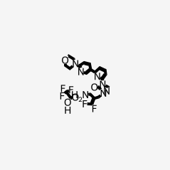 NCC(Cn1ncn(-c2cccc(-c3ccc(N4CCOCC4)nc3)n2)c1=O)=C(F)F.O=C(O)C(F)(F)F